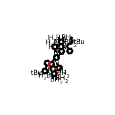 Bc1c(B)c(B)c(N(/C(=C/C=C(\C=C)C(C)(C)C)c2ccccc2)c2ccc3c4cc5c(cc4n4c6ccccc6c2c34)c2ccc(N(c3ccc(C(C)(C)C)cc3-c3ccccc3)c3c(B)c(B)c(B)c(B)c3B)c3c4ccccc4n5c23)c(B)c1B